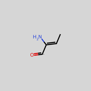 CC=C(N)[C]=O